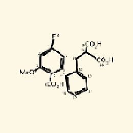 COc1cc(F)ccc1C(=O)O.O=C(O)C(Cc1ccccc1)C(=O)O